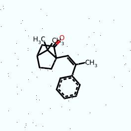 CC(=CC12CCC(CC1=O)C2(C)C)c1ccccc1